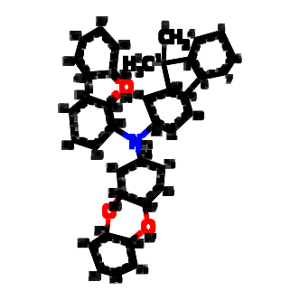 CC1(C)c2ccccc2-c2ccc(N(c3ccc4c(c3)Oc3ccccc3O4)c3cccc4c3oc3ccccc34)cc21